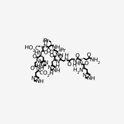 CC(C)C[C@H](NC(=O)[C@@H](NC(=O)[C@H](Cc1c[nH]cn1)NC(=O)CNC(=O)CNC(=O)[C@H](CCC(N)=O)NC(=O)[C@@H](N)Cc1c[nH]cn1)C(C)C)C(=O)N[C@@H](CC(=O)O)C(=O)N[C@@H](Cc1c[nH]cn1)C(=O)NCC(=O)N[C@@H](Cc1c[nH]cn1)C(=O)O